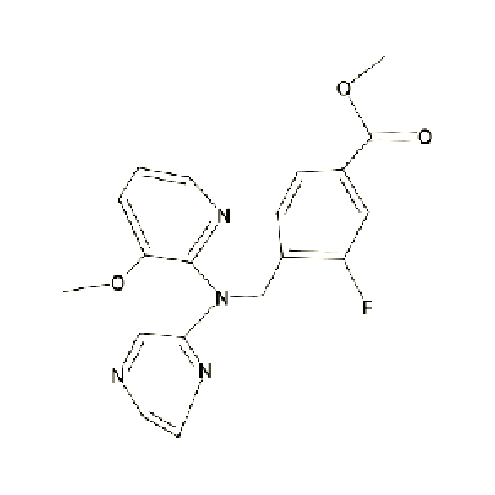 COC(=O)c1ccc(CN(c2cnccn2)c2ncccc2OC)c(F)c1